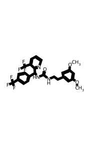 COc1cc(CCNC(=O)NC(c2ccc(C(F)(F)F)cc2)c2ncccc2C(F)(F)F)cc(OC)c1